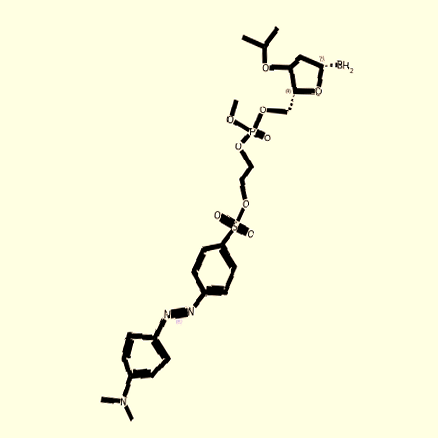 B[C@H]1CC(OC(C)C)[C@@H](COP(=O)(OC)OCCOS(=O)(=O)c2ccc(/N=N/c3ccc(N(C)C)cc3)cc2)O1